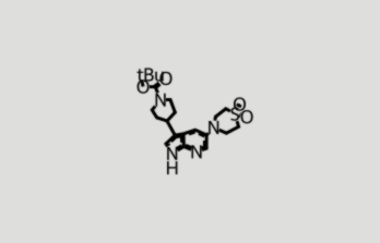 CC(C)(C)OC(=O)N1CCC(c2c[nH]c3ncc(N4CCS(=O)(=O)CC4)cc23)CC1